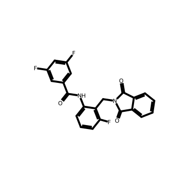 O=C(Nc1cccc(F)c1CN1C(=O)c2ccccc2C1=O)c1cc(F)cc(F)c1